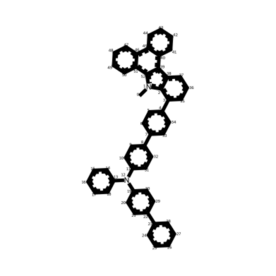 Cn1c2c(-c3ccc(-c4ccc(N(c5ccccc5)c5ccc(-c6ccccc6)cc5)cc4)cc3)cccc2c2c3ccccc3c3ccccc3c21